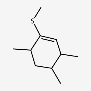 CSC1=CC(C)C(C)CC1C